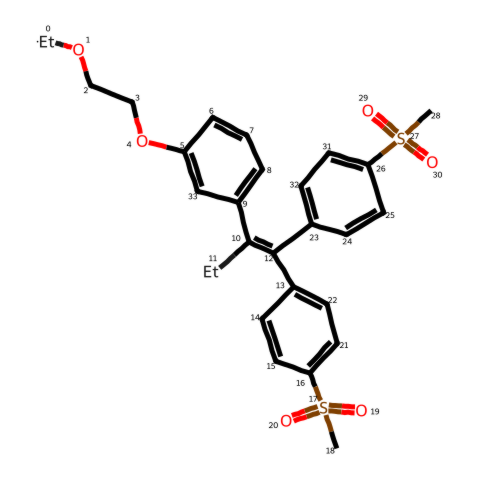 [CH2][CH]OCCOc1cccc(C(CC)=C(c2ccc(S(C)(=O)=O)cc2)c2ccc(S(C)(=O)=O)cc2)c1